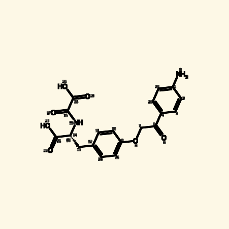 Nc1ccc(C(=O)COc2ccc(C[C@@H](NC(=O)C(=O)O)C(=O)O)cc2)cc1